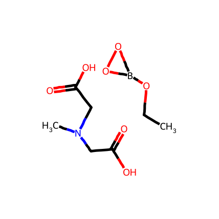 CCOB1OO1.CN(CC(=O)O)CC(=O)O